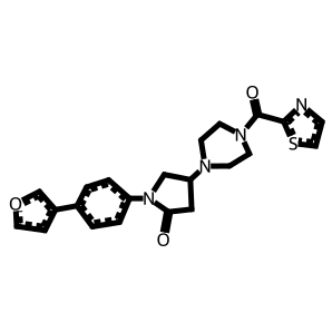 O=C(c1nccs1)N1CCN(C2CC(=O)N(c3ccc(-c4ccoc4)cc3)C2)CC1